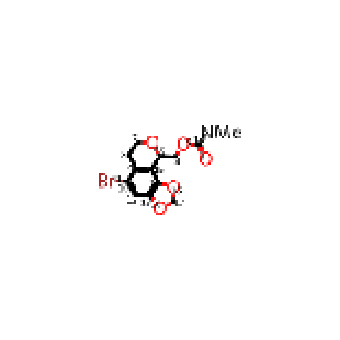 CNC(=O)OCC1OCCc2c(Br)cc3c(c21)OCO3